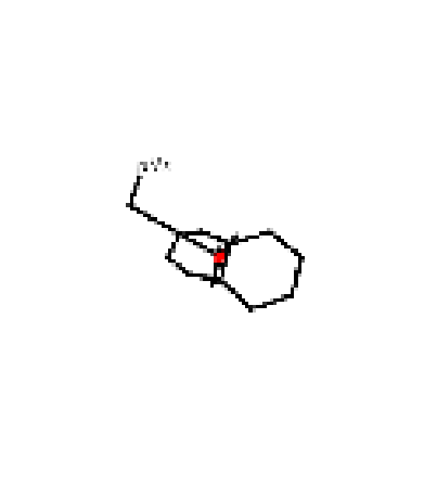 CNCC1CCC23CCCCC2(CCCC3)C1